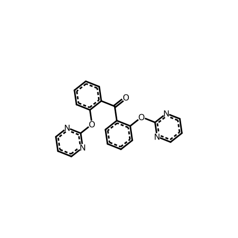 O=C(c1ccccc1Oc1ncccn1)c1ccccc1Oc1ncccn1